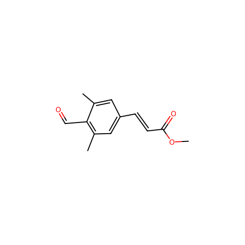 COC(=O)/C=C/c1cc(C)c(C=O)c(C)c1